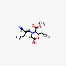 CCCC(C(=O)OC)N(/C=C(/C#N)CC)CC(=O)O